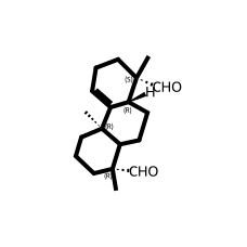 C[C@@]12CCC[C@@](C)(C=O)C1CC[C@@H]1C2=CCC[C@]1(C)C=O